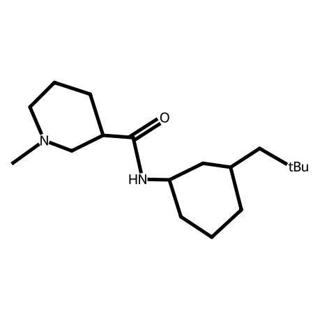 CN1CCCC(C(=O)NC2CCCC(CC(C)(C)C)C2)C1